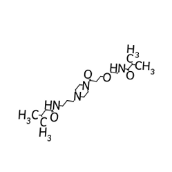 CC(C)CC(=O)NCCCN1CCN(C(=O)CCOCCNC(=O)C(C)C)CC1